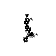 CN(Cc1ccc(-c2ccc3c(=O)n(CCC(C)(C(=O)NOC4CCCCO4)S(C)(=O)=O)cnc3c2)cc1F)C1CC1